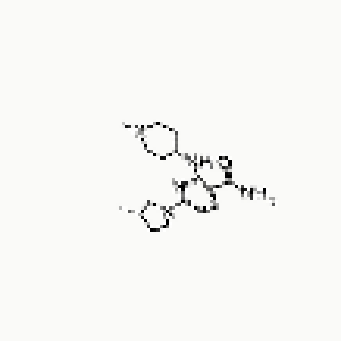 C[C@H]1CCN(c2ccc(C(N)=O)c(NC3CCN(C)CC3)n2)C1